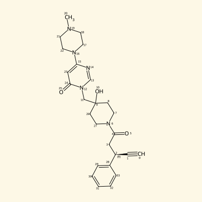 C#C[C@H](CC(=O)N1CCC(O)(Cn2cnc(N3CCN(C)CC3)cc2=O)CC1)c1ccccc1